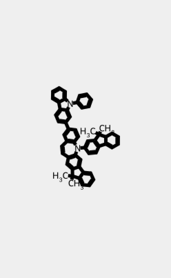 CC1(C)c2ccccc2-c2cc3c(cc21)C=Cc1cc(-c2ccc4c5ccccc5n(-c5ccccc5)c4c2)ccc1N3c1ccc2c(c1)C(C)(C)C1CC=CC=C21